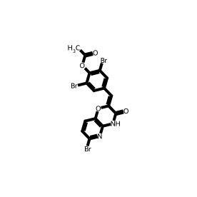 CC(=O)Oc1c(Br)cc(/C=C2\Oc3ccc(Br)nc3NC2=O)cc1Br